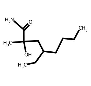 CCCCC(CC)CC(C)(O)C(N)=O